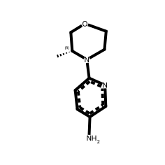 C[C@@H]1COCCN1c1ccc(N)cn1